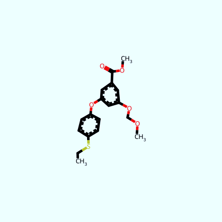 CCSc1ccc(Oc2cc(OCOC)cc(C(=O)OC)c2)cc1